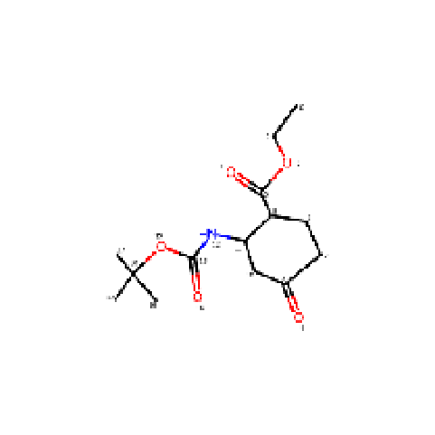 CCOC(=O)C1CCC(=O)CC1NC(=O)OC(C)(C)C